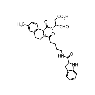 Cc1ccc2c(c1)CCN(C(=O)CCCCNC(=O)[C@@H]1Cc3ccccc3N1)[C@@H]2C(=O)N[C@H](C=O)CC(=O)O